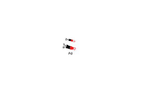 [Ag].[O]=[Zn].[O]=[Zn]